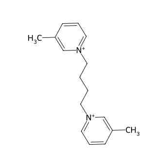 Cc1ccc[n+](CCCC[n+]2cccc(C)c2)c1